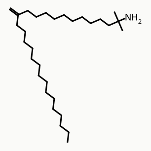 C=C(CCCCCCCCCCCCCCC)CCCCCCCCCCC(C)(C)N